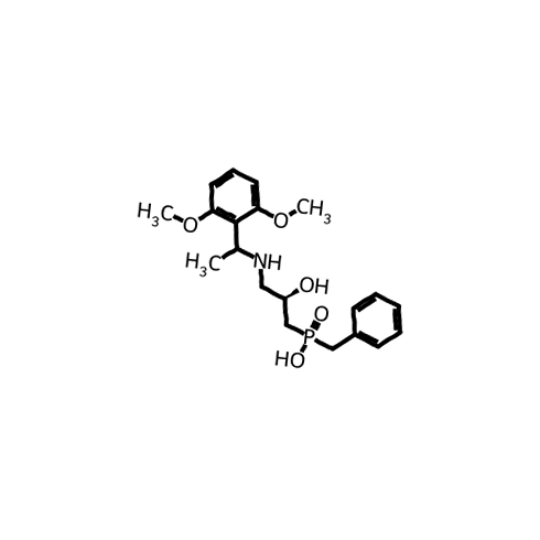 COc1cccc(OC)c1C(C)NC[C@@H](O)CP(=O)(O)Cc1ccccc1